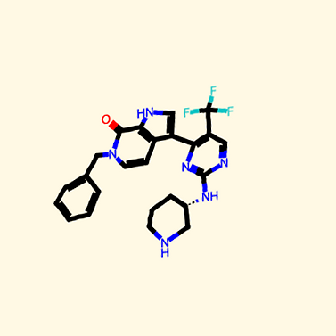 O=c1c2[nH]cc(-c3nc(N[C@H]4CCCNC4)ncc3C(F)(F)F)c2ccn1Cc1ccccc1